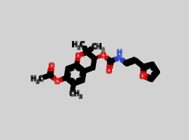 CC(=O)Oc1cc2c(cc1C)C[C@H](OC(=O)N/C=C/c1ccco1)C(C)(C)O2